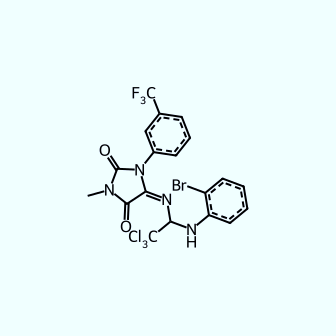 CN1C(=O)C(=NC(Nc2ccccc2Br)C(Cl)(Cl)Cl)N(c2cccc(C(F)(F)F)c2)C1=O